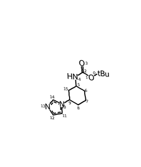 CC(C)(C)OC(=O)NC1CCCC(n2ccnc2)C1